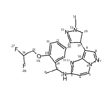 CC(Nc1ccn2ncc(C3C=NN(C)C3)c2n1)c1ccccc1OCC(F)F